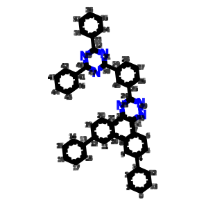 c1ccc(-c2ccc3c(c2)c2cc(-c4ccccc4)ccc2c2nc(-c4cccc(-c5nc(-c6ccccc6)nc(-c6ccccc6)n5)c4)nnc32)cc1